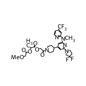 COCC(=O)OC(C)C(=O)OCC(=O)N1CCC(c2cc(N3CCC(F)(F)C3)nc(N(C)c3cc(C(F)(F)F)ccn3)c2)CC1